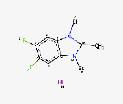 CCN1c2cc(F)c(F)cc2N(CC)C1C.I